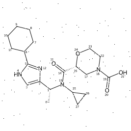 C[C@H](c1c[nH]c(C2CCCCC2)n1)N(C(=O)[C@H]1CN(C(=O)O)CCO1)C1CC1